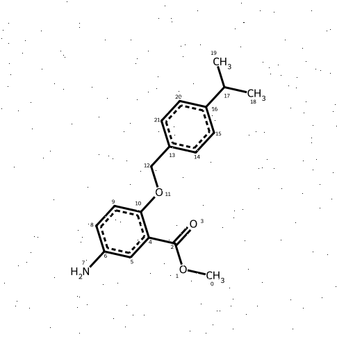 COC(=O)c1cc(N)ccc1OCc1ccc(C(C)C)cc1